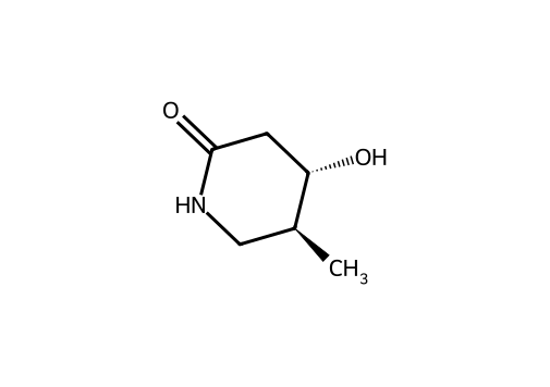 C[C@H]1CNC(=O)C[C@@H]1O